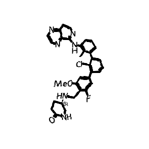 COc1cc(-c2cccc(-c3cccc(Nc4nccc5nccnc45)c3C)c2Cl)cc(F)c1CN[C@H]1CCC(=O)NC1